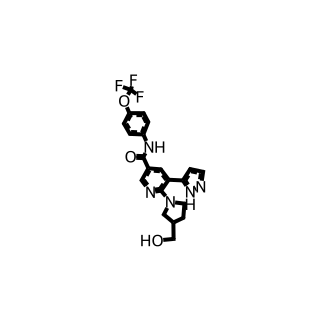 O=C(Nc1ccc(OC(F)(F)F)cc1)c1cnc(N2CCC(CO)C2)c(-c2ccn[nH]2)c1